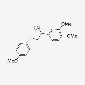 COc1ccc(CCC(N)c2ccc(OC)c(OC)c2)cc1